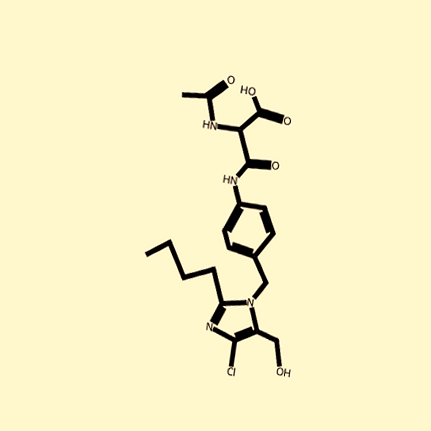 CCCCc1nc(Cl)c(CO)n1Cc1ccc(NC(=O)C(NC(C)=O)C(=O)O)cc1